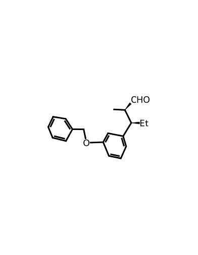 CC[C@@H](c1cccc(OCc2ccccc2)c1)[C@@H](C)C=O